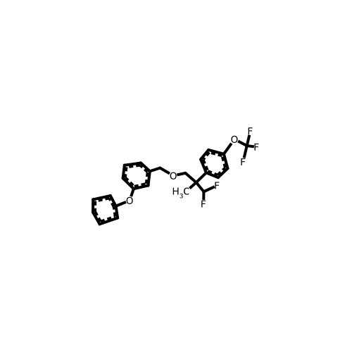 CC(COCc1cccc(Oc2ccccc2)c1)(c1ccc(OC(F)(F)F)cc1)C(F)F